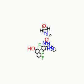 Cc1cc2c(N3CC4CCC(C3)N4)nc(OCC3(CN4C[C@H]5COC[C@@H]5C4)CC3)nc2c(F)c1-c1cc(O)cc2ccc(F)c(F)c12